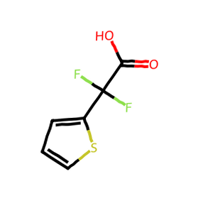 O=C(O)C(F)(F)c1cccs1